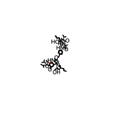 C=CCN(C(=O)O)[C@H](C(=O)N[C@@H](C)C(=O)Nc1ccc(COC(=O)Nc2cc(O[Si](C(C)C)(C(C)C)C(C)C)c(OC)cc2C(=O)N2C=C(C=CC)C[C@H]2CO)cc1)C(C)C